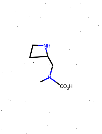 CN(CC1CCN1)C(=O)O